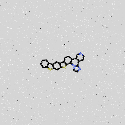 c1ccc2c(c1)sc1cc3sc4c(ccc5c6cnccc6c6nccn6c54)c3cc12